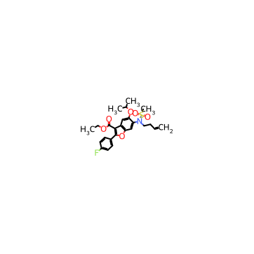 C=CCCN(c1cc2oc(-c3ccc(F)cc3)c(C(=O)OCC)c2cc1OC(C)C)S(C)(=O)=O